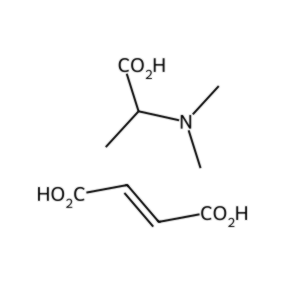 CC(C(=O)O)N(C)C.O=C(O)C=CC(=O)O